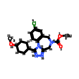 CC(C)(C)OC(=O)N1Cc2cc(Cl)ccc2-n2c(nnc2C2CCC(OC(F)(F)F)CC2)C1